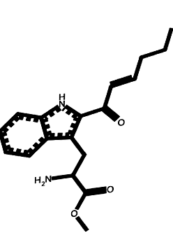 CCCC=CC(=O)c1[nH]c2ccccc2c1CC(N)C(=O)OC